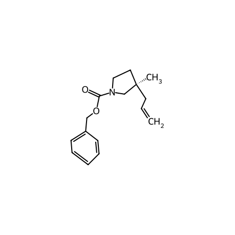 C=CC[C@]1(C)CCN(C(=O)OCc2ccccc2)C1